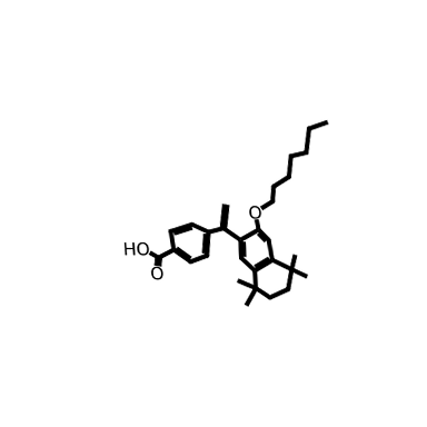 C=C(c1ccc(C(=O)O)cc1)c1cc2c(cc1OCCCCCCC)C(C)(C)CCC2(C)C